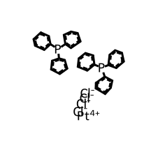 [Cl-].[Cl-].[Cl-].[Cl-].[Pt+4].c1ccc(P(c2ccccc2)c2ccccc2)cc1.c1ccc(P(c2ccccc2)c2ccccc2)cc1